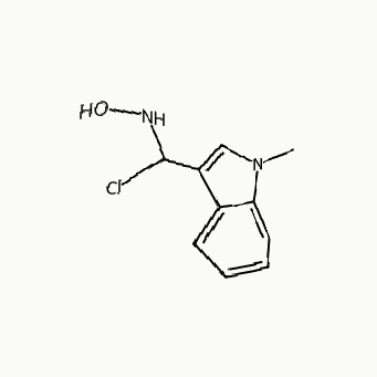 Cn1cc(C(Cl)NO)c2ccccc21